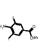 COC(=O)c1cc(I)c(N)c(I)c1